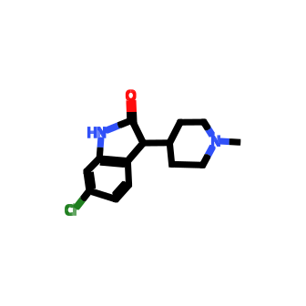 CN1CCC(C2C(=O)Nc3cc(Cl)ccc32)CC1